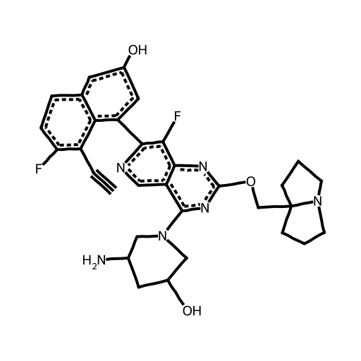 C#Cc1c(F)ccc2cc(O)cc(-c3ncc4c(N5CC(N)CC(O)C5)nc(OCC56CCCN5CCC6)nc4c3F)c12